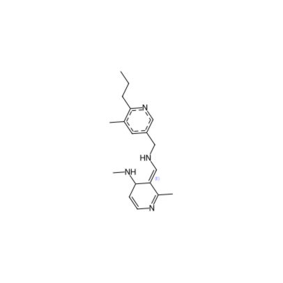 CCCc1ncc(CN/C=C2/C(C)=NC=CC2NC)cc1C